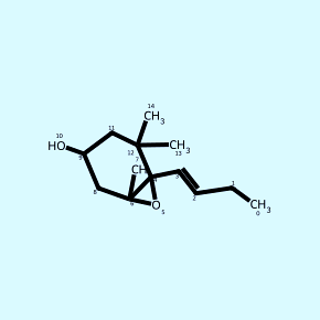 C[CH]C=CC12OC1(C)CC(O)CC2(C)C